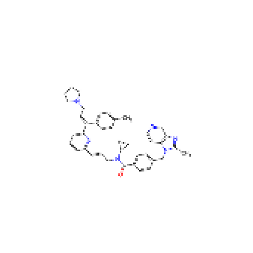 Cc1ccc(/C(=C\CN2CCCC2)c2cccc(/C=C/CN(C(=O)c3ccc(Cn4c(C)nc5cnccc54)cc3)C3CC3)n2)cc1